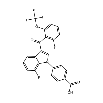 O=C(O)c1ccc(-n2cc(C(=O)c3c(F)cccc3OC(F)(F)F)c3cccc(F)c32)cc1